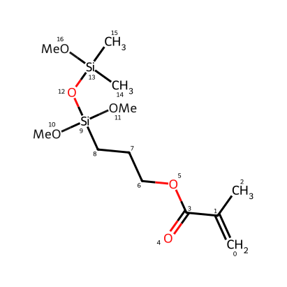 C=C(C)C(=O)OCCC[Si](OC)(OC)O[Si](C)(C)OC